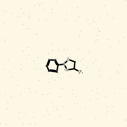 FC(F)(F)C1COB(c2ccccc2)O1